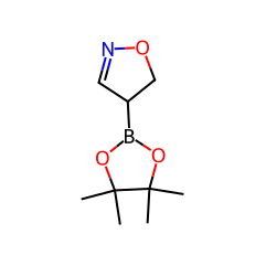 CC1(C)OB(C2C=NOC2)OC1(C)C